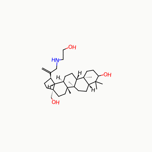 C=C(CNCCO)[C@@H]1CC[C@]2(CO)CC[C@]3(C)[C@H](CC[C@@H]4[C@@]5(C)CCC(O)C(C)(C)[C@@H]5CC[C@]43C)[C@@H]12